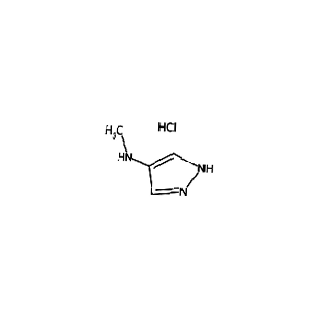 CNc1cn[nH]c1.Cl